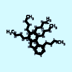 CCCCc1cccc2c1-c1c(c(CCCC)c(CCCC)c(CCCC)c1CCCC)[CH]2